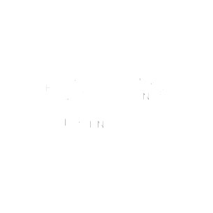 CC(C)(CC1CCN(S(C)(=O)=O)CC1)NC[C@H](O)c1cccc(F)c1